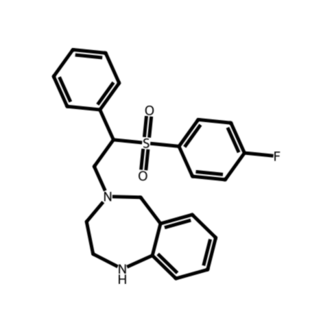 O=S(=O)(c1ccc(F)cc1)C(CN1CCNc2ccccc2C1)c1ccccc1